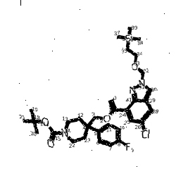 C=C(OCC1(c2ccc(F)cc2)CCN(C(=O)OC(C)(C)C)CC1)c1cc(Cl)cc2cn(COCC[Si](C)(C)C)nc12